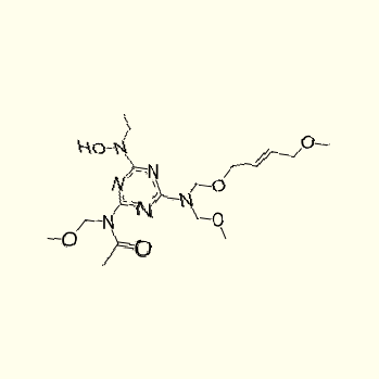 CCN(O)c1nc(N(COC)COC/C=C/COC)nc(N(COC)C(C)=O)n1